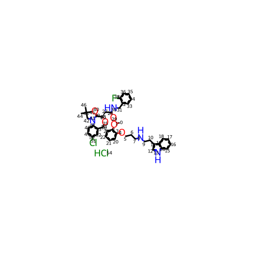 COc1c(OCCCNCCc2c[nH]c3ccccc23)cccc1[C@H]1O[C@H](CC(=O)NCc2ccccc2F)C(=O)N(CC(C)(C)C)c2ccc(Cl)cc21.Cl